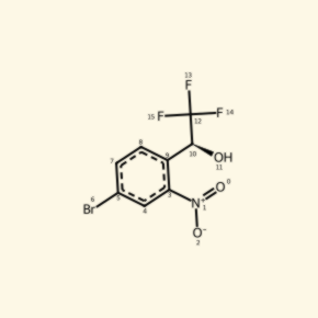 O=[N+]([O-])c1cc(Br)ccc1[C@H](O)C(F)(F)F